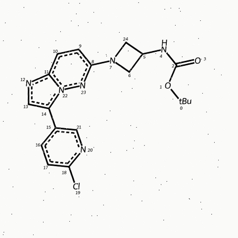 CC(C)(C)OC(=O)NC1CN(c2ccc3ncc(-c4ccc(Cl)nc4)n3n2)C1